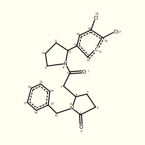 O=C1CCC(CC(=O)N2CCCC2c2ccc(Cl)c(Cl)c2)N1Cc1ccccc1